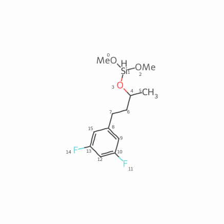 CO[SiH](OC)OC(C)CCc1cc(F)cc(F)c1